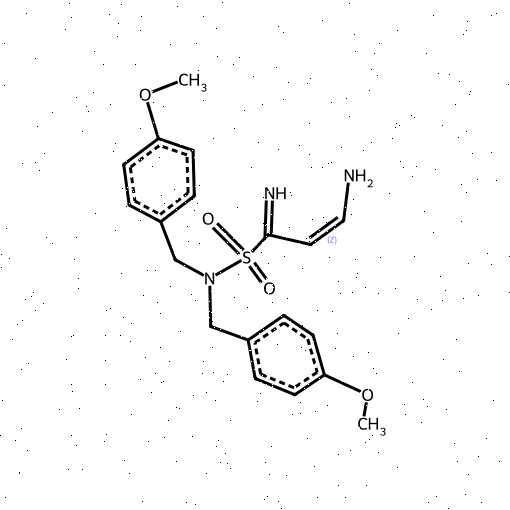 COc1ccc(CN(Cc2ccc(OC)cc2)S(=O)(=O)C(=N)/C=C\N)cc1